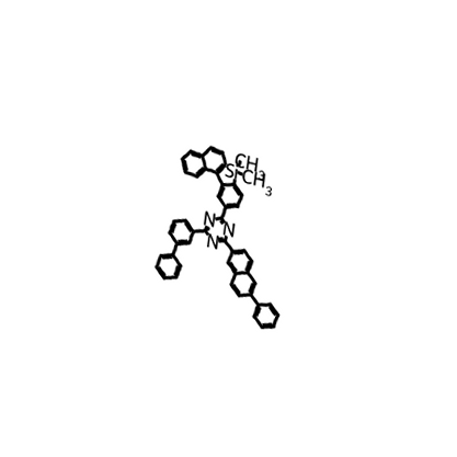 C[Si]1(C)c2ccc(-c3nc(-c4cccc(-c5ccccc5)c4)nc(-c4ccc5cc(-c6ccccc6)ccc5c4)n3)cc2-c2c1ccc1ccccc21